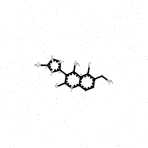 CCc1ccc2nc(Cl)c(-c3nc(C)no3)c(C)c2c1F